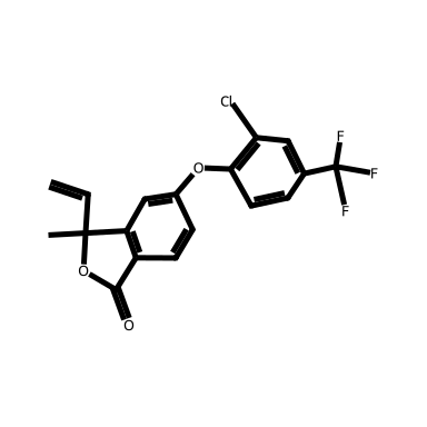 C=CC1(C)OC(=O)c2ccc(Oc3ccc(C(F)(F)F)cc3Cl)cc21